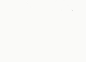 Cc1cc(-c2ccc3c(ccc4ccccc43)c2)n(-c2ccc(NS(N)(=O)=O)cc2)n1